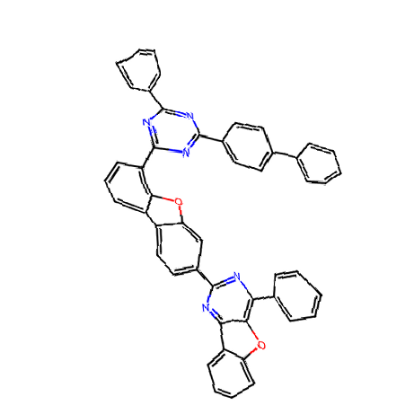 c1ccc(-c2ccc(-c3nc(-c4ccccc4)nc(-c4cccc5c4oc4cc(-c6nc(-c7ccccc7)c7oc8ccccc8c7n6)ccc45)n3)cc2)cc1